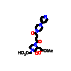 COC(=O)CC1C(=O)N(CC(=O)O)CCN1C(=O)CCC(=O)N1CCN(c2ccncc2)CC1